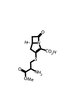 COC(=O)C(N)CSC1=C(C(=O)O)N2C(=O)C[C@@H]2C1